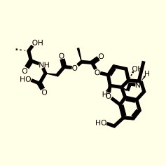 C[C@H](O)C(=O)N[C@@H](CC(=O)O[C@@H](C)C(=O)OC1=CC[C@@]2(O)[C@H]3Cc4ccc(CO)c5c4[C@@]2(CCN3C)[C@H]1O5)C(=O)O